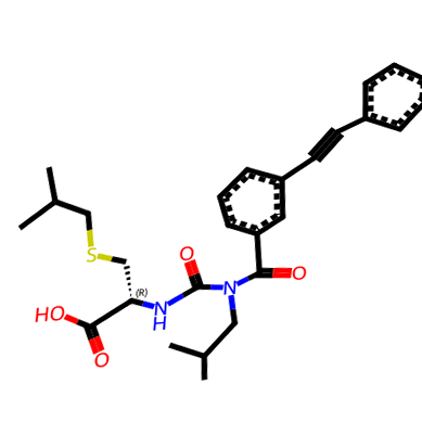 CC(C)CSC[C@H](NC(=O)N(CC(C)C)C(=O)c1cccc(C#Cc2ccccc2)c1)C(=O)O